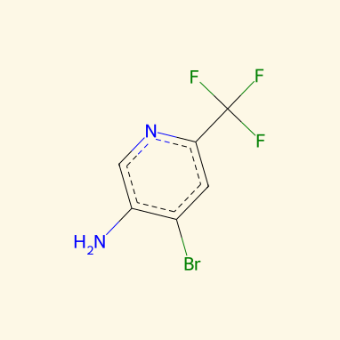 Nc1cnc(C(F)(F)F)cc1Br